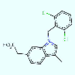 Cc1cn(Cc2c(Cl)cccc2Cl)c2cc(CC(=O)O)ccc12